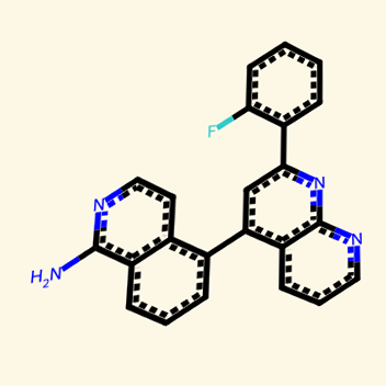 Nc1nccc2c(-c3cc(-c4ccccc4F)nc4ncccc34)cccc12